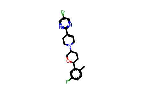 Cc1ccc(F)cc1C1CCC(N2CC=C(c3ncc(Br)cn3)CC2)CO1